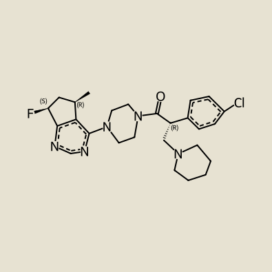 C[C@@H]1C[C@H](F)c2ncnc(N3CCN(C(=O)[C@@H](CN4CCCCC4)c4ccc(Cl)cc4)CC3)c21